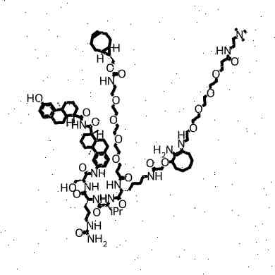 CC(C)[C@H](NC(=O)[C@@H](CCCCNC(=O)COC1CCCCC/C(NCCOCCOCCOCCOCCC(=O)NCC[N+](C)(C)C)=C\1N)NC(=O)CCOCCOCCOCCOCCNC(=O)OC[C@@H]1[C@@H]2CCC#CCC[C@@H]21)C(=O)N[C@@H](CCCNC(N)=O)C(=O)N[C@@H](CO)C(=O)Nc1ccc2c(c1)[C@@]1(C)CCC[C@](C)(C(=O)NC(=O)[C@@]3(C)CCC[C@]4(C)c5cc(O)ccc5CC[C@@H]34)[C@@H]1CC2